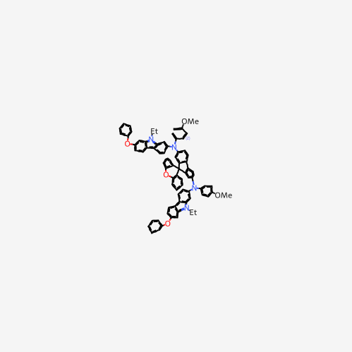 C=C(/C=C\C(=C)N(c1ccc2c(c1)C1(c3ccccc3Oc3ccccc31)c1cc(N(c3ccc(OC)cc3)c3ccc4c5ccc(Oc6ccccc6)cc5n(CC)c4c3)ccc1-2)c1ccc2c3ccc(Oc4ccccc4)cc3n(CC)c2c1)OC